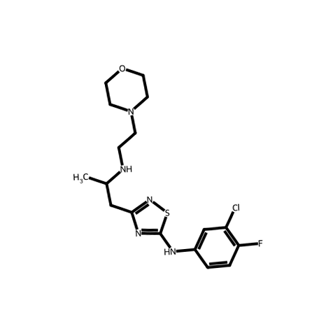 CC(Cc1nsc(Nc2ccc(F)c(Cl)c2)n1)NCCN1CCOCC1